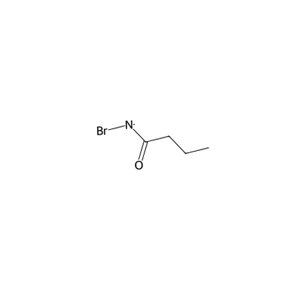 CCCC(=O)[N]Br